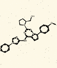 COc1ccc(-c2ccc3c(Nc4cn(-c5ccccc5)cn4)nc(N4CCC[C@H]4CO)nn23)cc1